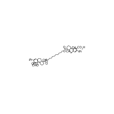 CC(C)c1cc2c(cc1OC=O)C1(C)CCCC(C)(C(=O)OCCCCCCCCCCOC(=O)C3(C)CCCC4(C)c5cc(C(=O)O)c(C(C)C)cc5CCC34)C1CC2